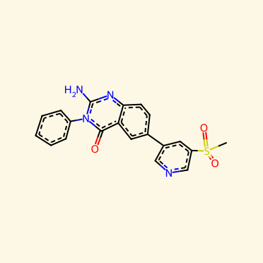 CS(=O)(=O)c1cncc(-c2ccc3nc(N)n(-c4ccccc4)c(=O)c3c2)c1